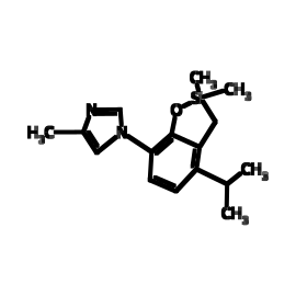 Cc1cn(-c2ccc(C(C)C)c3c2O[Si](C)(C)C3)cn1